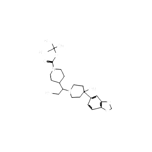 CC(C)(C)OC(=O)N1CCC(C(CO)N2CCC(O)(c3ccc4c(c3)OCO4)CC2)CC1